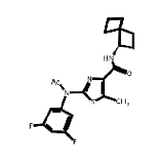 CC(=O)N(c1cc(F)cc(F)c1)c1nc(C(=O)N[C@@H]2CCC23CCC3)c(C)s1